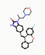 CC(CN1CCOCC1)n1c(=O)[nH]c2cc(C=C3c4ccccc4COc4cc(F)ccc43)ccc21